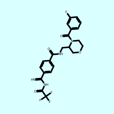 N=C(NC(=O)C(F)(F)F)c1ccc(C(=O)NCC2COCCN2C(=O)c2cccc(F)c2)cc1